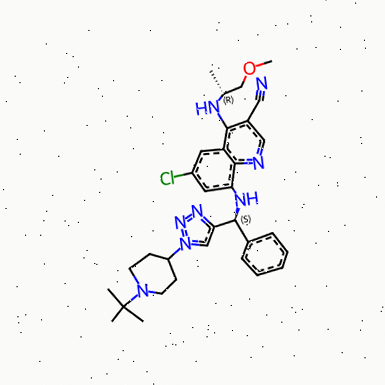 COC[C@@H](C)Nc1c(C#N)cnc2c(N[C@@H](c3ccccc3)c3cn(C4CCN(C(C)(C)C)CC4)nn3)cc(Cl)cc12